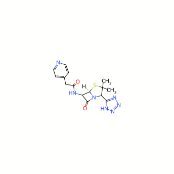 CC1(C)S[C@@H]2C(NC(=O)Cc3ccncc3)C(=O)N2C1c1nnn[nH]1